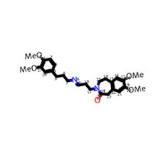 COc1ccc(CCCN=CCCN2CCc3cc(OC)c(OC)cc3CC2=O)cc1OC